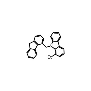 CCc1cccc2c3ccccc3n(Cc3cccc4c3-c3ccccc3C4)c12